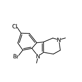 CN1CCc2c(c3cc(Cl)cc(Br)c3n2C)C1